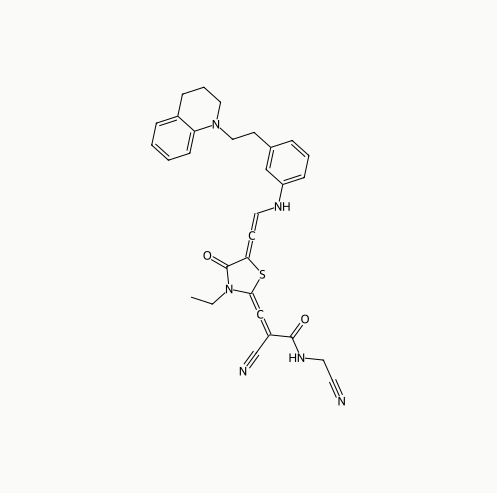 CCn1c(=C=C(C#N)C(=O)NCC#N)sc(=C=CNc2cccc(CCN3CCCc4ccccc43)c2)c1=O